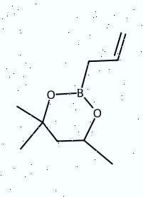 C=CCB1OC(C)CC(C)(C)O1